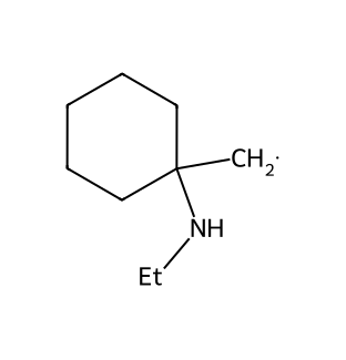 [CH2]C1(NCC)CCCCC1